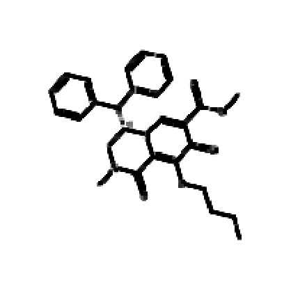 CCCCOc1c2n(cc(C(=O)OC)c1=O)[C@@H](C(c1ccccc1)c1ccccc1)CN(C)C2=O